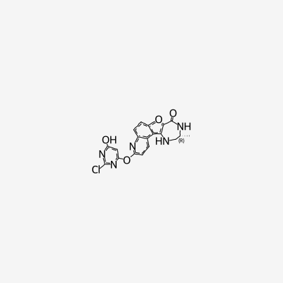 C[C@@H]1CNc2c(oc3ccc4nc(Oc5cc(O)nc(Cl)n5)ccc4c23)C(=O)N1